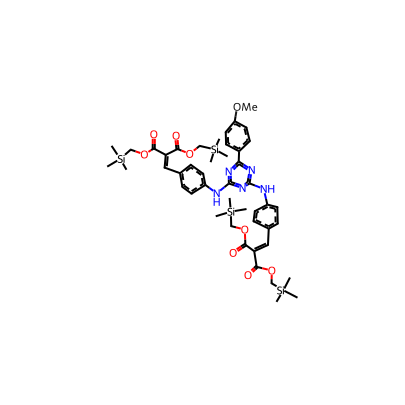 COc1ccc(-c2nc(Nc3ccc(C=C(C(=O)OC[Si](C)(C)C)C(=O)OC[Si](C)(C)C)cc3)nc(Nc3ccc(C=C(C(=O)OC[Si](C)(C)C)C(=O)OC[Si](C)(C)C)cc3)n2)cc1